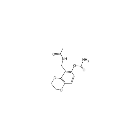 CC(=O)NCc1c(OC(N)=O)ccc2c1OCCO2